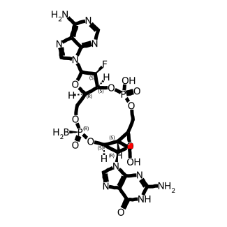 B[P@@]1(=O)OC[C@H]2OC(n3cnc4c(N)ncnc43)[C@@H](F)[C@H]2OP(=O)(O)OCC2O[C@@H](n3cnc4c(=O)[nH]c(N)nc43)[C@@H](O1)[C@H]2CO